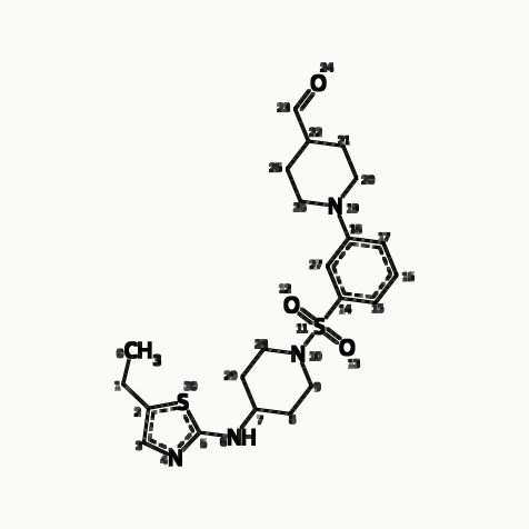 CCc1cnc(NC2CCN(S(=O)(=O)c3cccc(N4CCC(C=O)CC4)c3)CC2)s1